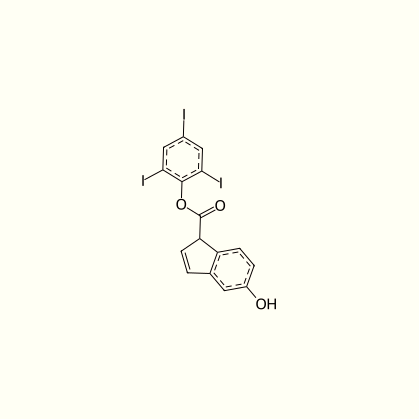 O=C(Oc1c(I)cc(I)cc1I)C1C=Cc2cc(O)ccc21